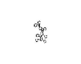 c1ccc(-c2cc(-c3c(-c4ccccc4)cc(-n4c5ccccc5c5cc(-n6c7ccccc7c7ccccc76)ccc54)cc3-c3ccccc3)nc(-c3ccccc3)n2)cc1